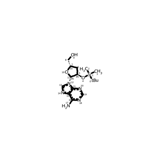 CC(C)(C)[Si](C)(C)O[C@@H]1C[C@@H](CO)O[C@H]1n1cnc2c(N)ncnc21